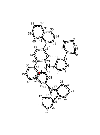 c1ccc(-c2cccc(N(c3cccc(-n4c5ccccc5c5ccccc54)c3)c3cc(-c4cccc5ccccc45)ccc3-c3ccccc3)c2)cc1